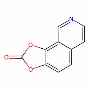 O=c1oc2ccc3ccncc3c2o1